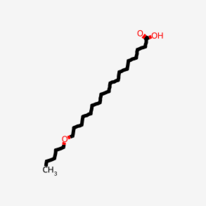 CCCCCOCCCCCCCCCCCCCCCCCC(=O)O